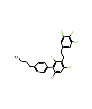 CCCCc1ccc(-c2c([O])cc(F)c(CCc3cc(F)c(F)c(F)c3)c2F)cc1